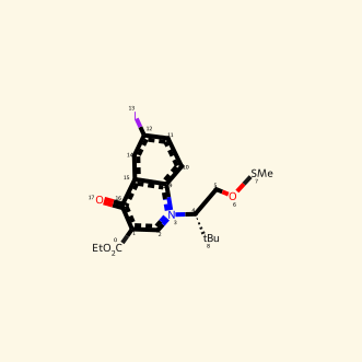 CCOC(=O)c1cn([C@H](COSC)C(C)(C)C)c2ccc(I)cc2c1=O